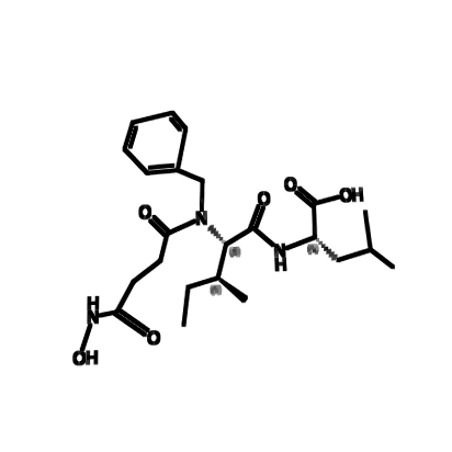 CC[C@H](C)[C@@H](C(=O)N[C@@H](CC(C)C)C(=O)O)N(Cc1ccccc1)C(=O)CCC(=O)NO